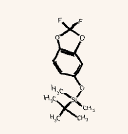 CC(C)(C)[Si](C)(C)Oc1ccc2c(c1)OC(F)(F)O2